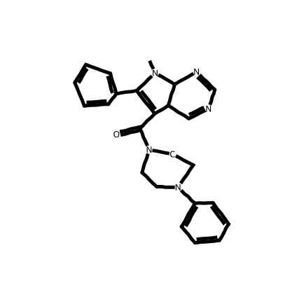 CN1C(c2ccccc2)=C(C(=O)N2CCN(c3ccccc3)CC2)C2C=NC=NC21